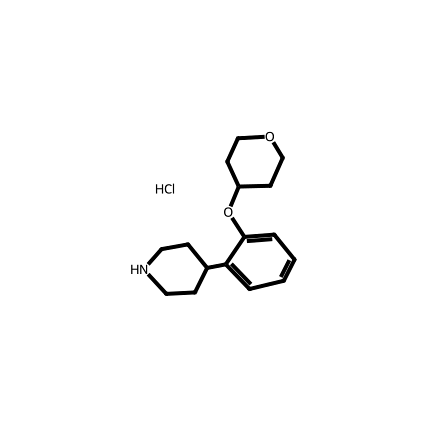 Cl.c1ccc(C2CCNCC2)c(OC2CCOCC2)c1